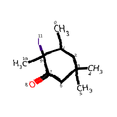 CC1CC(C)(C)CC(=O)C1(C)I